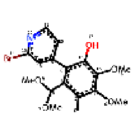 COc1c(C)c(C(OC)OC)c(-c2ccnc(Br)c2)c(O)c1OC